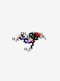 CCCCC1CC(C23C[C@@H]4[C@H](C)CC[C@H]4C4(C=O)CC2C=C(C(C)C)C34C(=O)O)OC1CN1CCC(N2CC(C)OC(C)C2)CC1